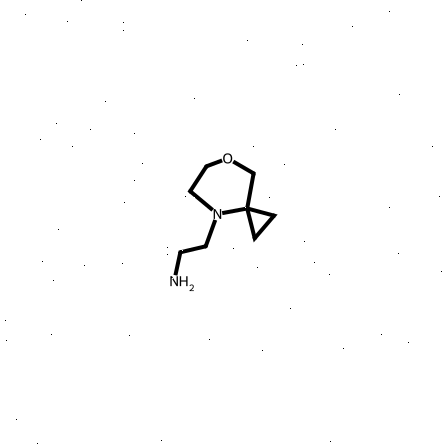 NCCN1CCOCC12CC2